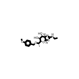 CCNC1=N[C@@H]2[C@@H](O)[C@H](O)[C@@H]([C@H](C)OCc3ccc(OC)cc3)O[C@@H]2S1